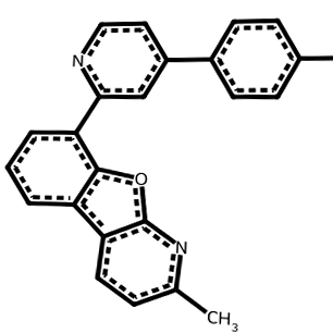 Cc1ccc2c(n1)oc1c(-c3cc(-c4ccc(F)cc4)ccn3)cccc12